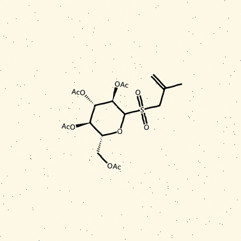 C=C(C)CS(=O)(=O)C1O[C@H](COC(C)=O)[C@@H](OC(C)=O)[C@H](OC(C)=O)[C@H]1OC(C)=O